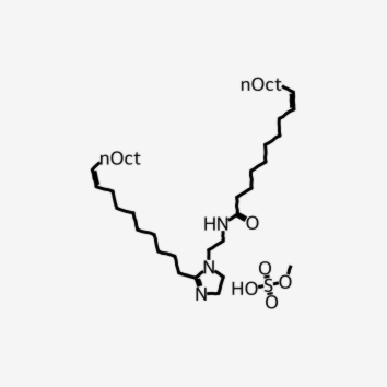 CCCCCCCC/C=C\CCCCCCCCC1=NCCN1CCNC(=O)CCCCCCC/C=C\CCCCCCCC.COS(=O)(=O)O